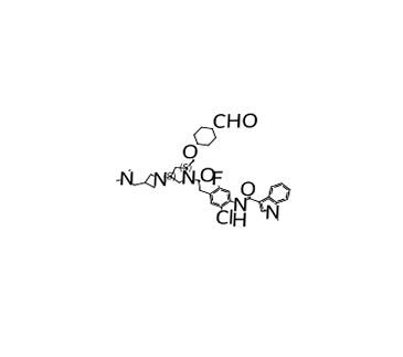 CN(C)CC1CN([C@H]2C[C@@H](CO[C@H]3CC[C@H](C=O)CC3)N(C(=O)Cc3cc(Cl)c(NC(=O)c4cn(C)c5ccccc45)cc3F)C2)C1